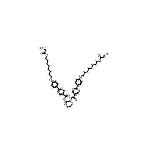 C=CC(=O)OCCCCCCCCOc1ccc(-c2ncc(C(=O)O[C@@H]3OCCO[C@H]3OC(=O)c3cnc(-c4ccc(OCCCCCCCCOC(=O)C=C)cc4)nc3)cn2)cc1